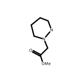 COC(=O)CN1CCCC[N]1